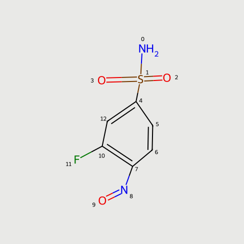 NS(=O)(=O)c1ccc(N=O)c(F)c1